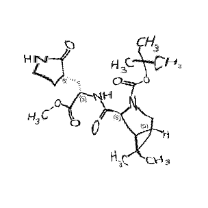 COC(=O)[C@H](C[C@@H]1CCNC1=O)NC(=O)[C@@H]1C2[C@H](CN1C(=O)OC(C)(C)C)C2(C)C